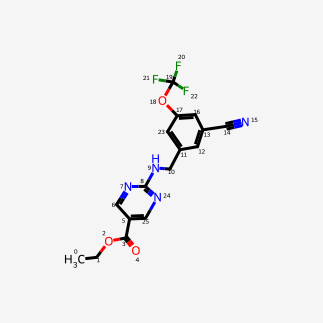 CCOC(=O)c1cnc(NCc2cc(C#N)cc(OC(F)(F)F)c2)nc1